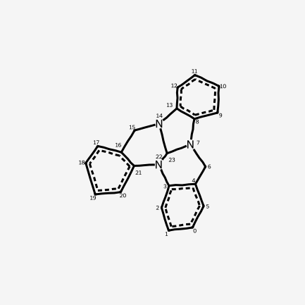 c1ccc2c(c1)CN1c3ccccc3N3Cc4ccccc4N2C13